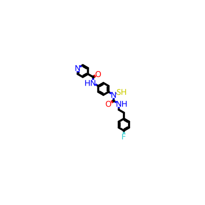 O=C(Nc1ccc(N(S)C(=O)NCCc2ccc(F)cc2)cc1)c1ccncc1